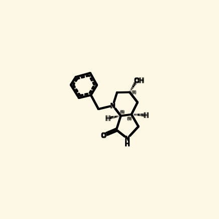 O=C1NC[C@@H]2C[C@@H](O)CN(Cc3ccccc3)[C@H]12